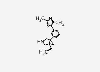 C=CC12CNCC1(c1cccc(-c3sc(C)nc3C)c1)C2